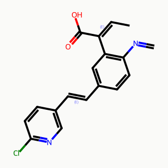 C=Nc1ccc(/C=C/c2ccc(Cl)nc2)cc1/C(=C\C)C(=O)O